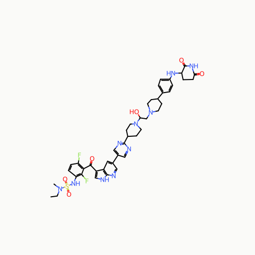 CCN(C)S(=O)(=O)Nc1ccc(F)c(C(=O)c2c[nH]c3ncc(-c4cnc(C5CCN(C(O)CN6CCC(c7ccc(NC8CCC(=O)NC8=O)cc7)CC6)CC5)nc4)cc23)c1F